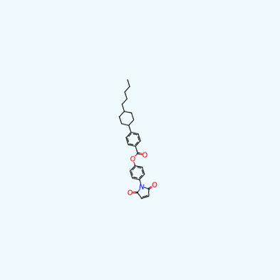 CCCCCC1CCC(c2ccc(C(=O)Oc3ccc(N4C(=O)C=CC4=O)cc3)cc2)CC1